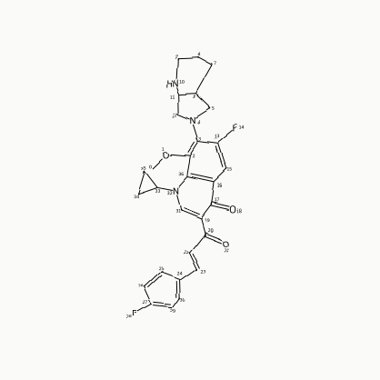 COc1c(N2CC3CCCNC3C2)c(F)cc2c(=O)c(C(=O)C=Cc3ccc(F)cc3)cn(C3CC3)c12